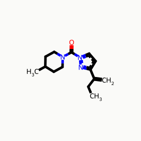 C=C(CC)c1ccn(C(=O)N2CCC(C)CC2)n1